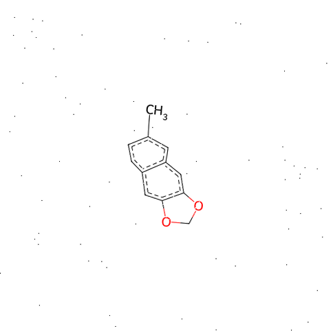 Cc1ccc2cc3c(cc2c1)OCO3